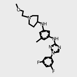 COCCN1CCC(Nc2cc(C)cc(Nc3ncn(-c4cc(F)cc(F)c4)n3)c2)CC1